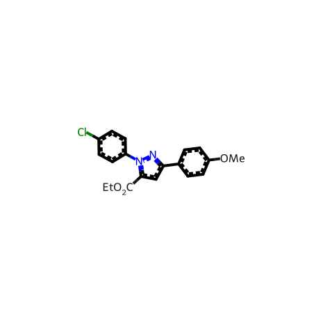 CCOC(=O)c1cc(-c2ccc(OC)cc2)nn1-c1ccc(Cl)cc1